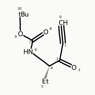 C#CC(=O)[C@H](CC)NC(=O)OC(C)(C)C